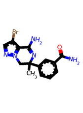 CC1(c2cccc(C(N)=O)c2)Cn2ncc(Br)c2C(N)=N1